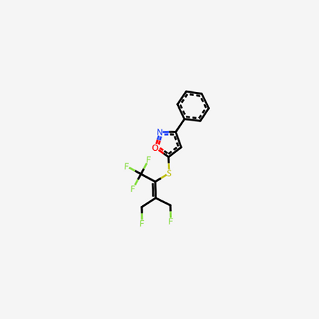 FCC(CF)=C(Sc1cc(-c2ccccc2)no1)C(F)(F)F